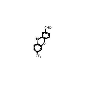 O=Cc1ccc2c(c1)Nc1ccc(C(F)(F)F)cc1O2